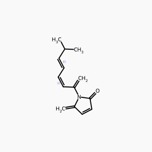 C=C1C=CC(=O)N1C(=C)/C=C\C=C\C(C)C